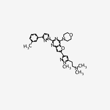 Cc1cccc(-c2ccn(-c3nc(N4CCOCC4)c4oc(-c5cc(CCN(C)C)n(C)n5)cc4n3)n2)c1